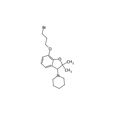 CC1(C)Oc2c(OCCCBr)cccc2C1N1CCCCC1